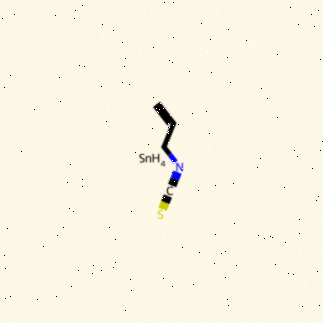 C=CCN=C=S.[SnH4]